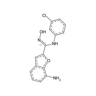 Nc1cccc2cc(/C(=N/O)Nc3cccc(Cl)c3)oc12